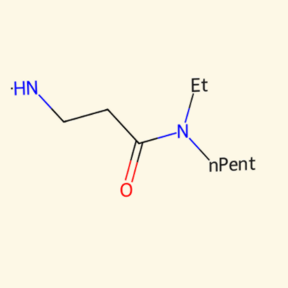 CCCCCN(CC)C(=O)CC[NH]